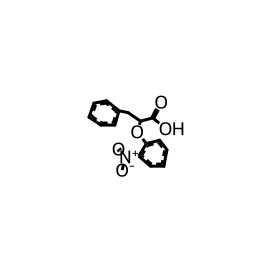 O=C(O)C(Cc1ccccc1)Oc1ccccc1[N+](=O)[O-]